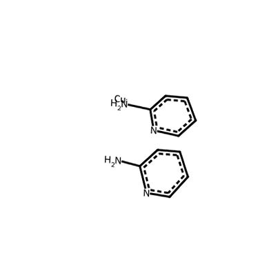 Nc1ccccn1.Nc1ccccn1.[Cu]